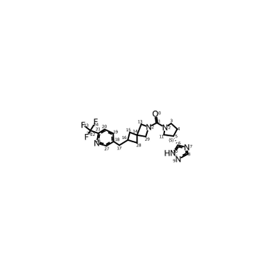 O=C(N1CC[C@H](c2ncn[nH]2)C1)N1CC2(CC(Cc3ccc(C(F)(F)F)nc3)C2)C1